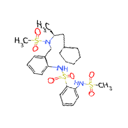 C[C@@H](CC1CCCCC1)N(Cc1ccccc1NS(=O)(=O)c1ccccc1NS(C)(=O)=O)S(C)(=O)=O